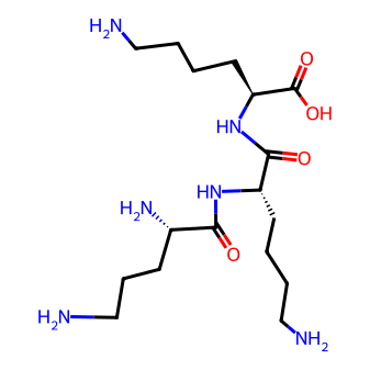 NCCCC[C@H](NC(=O)[C@H](CCCCN)NC(=O)[C@@H](N)CCCN)C(=O)O